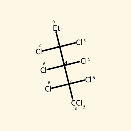 C[CH]C(Cl)(Cl)C(Cl)(Cl)C(Cl)(Cl)C(Cl)(Cl)Cl